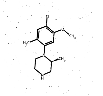 COc1cc(N2CCNC[C@@H]2C)c(C)cc1Cl